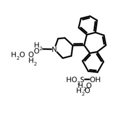 CN1CCC(=C2c3ccccc3C=Cc3ccccc32)CC1.O.O.O.O.O.O=S(=O)(O)O